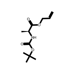 C=CCOC(=O)[C@H](C)NC(=O)OC(C)(C)C